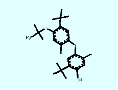 Cc1cc(O)c(C(C)(C)C)cc1Sc1cc(C(C)(C)C)c(OC(C)(C)P)cc1C